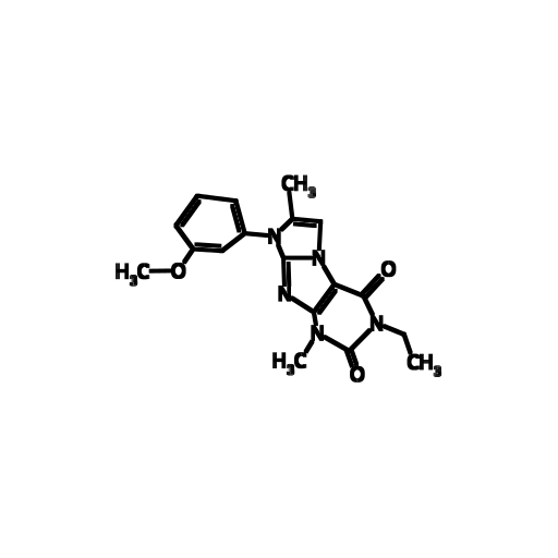 CCn1c(=O)c2c(nc3n(-c4cccc(OC)c4)c(C)cn23)n(C)c1=O